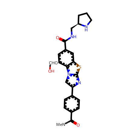 CNC(=O)c1ccc(-c2cn3c(n2)sc2cc(C(=O)NC[C@H]4CCCN4)ccc23)cc1.O=CO